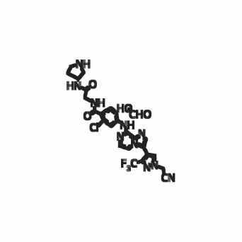 N#CCn1cc(-c2cnc3c(Nc4ccc(C(=O)NCC(=O)N[C@@H]5CCNC5)c(Cl)c4)nccn23)c(C(F)(F)F)n1.O=CO